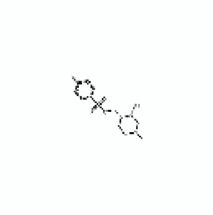 Cc1ccc(S(=O)(=O)OC[C@H]2CCN(C)C[C@H]2O)cc1